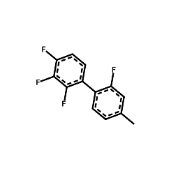 Cc1ccc(-c2ccc(F)c(F)c2F)c(F)c1